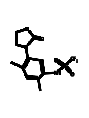 Cc1cc(C)c(N2CCOC2=O)cc1NS(=O)(=O)C(F)(F)F